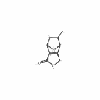 CC1CC2NC1C1COC(=O)C21